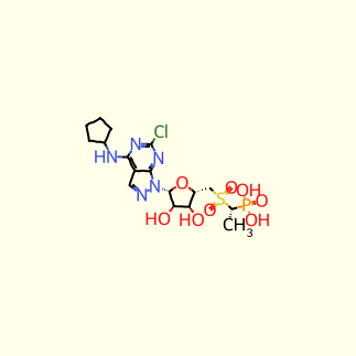 C[C@@H](P(=O)(O)O)S(=O)(=O)C[C@H]1O[C@@H](n2ncc3c(NC4CCCC4)nc(Cl)nc32)[C@H](O)[C@@H]1O